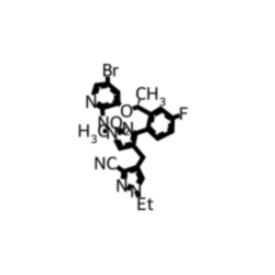 CCn1cc(Cc2cn(C)nc2-c2ccc(F)cc2[C@@H](C)Oc2cc(Br)cnc2[N+](=O)[O-])c(C#N)n1